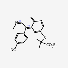 C=c1ccc(SC(C)(C)C(=O)OCC)c/c1=C(/C=N\C)c1ccc(C#N)cc1